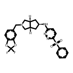 O=S(=O)(c1ccccc1)c1ccc(N[C@H]2C[C@@H]3CN(Cc4ccc5c(c4)OC(F)(F)O5)C[C@@H]3C2)nn1